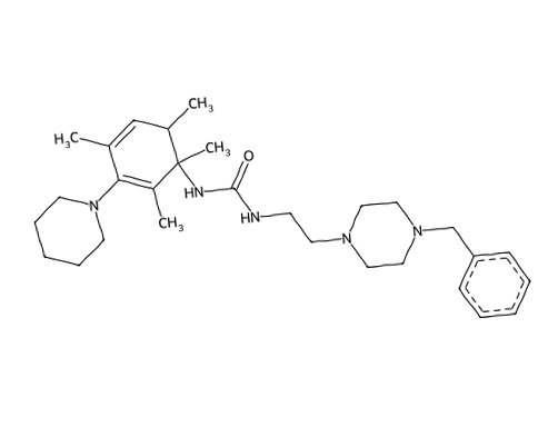 CC1=CC(C)C(C)(NC(=O)NCCN2CCN(Cc3ccccc3)CC2)C(C)=C1N1CCCCC1